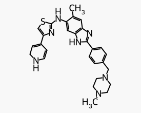 Cc1cc2nc(-c3ccc(CN4CCN(C)CC4)cc3)[nH]c2cc1Nc1nc(C2=CCNC=C2)cs1